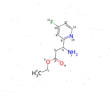 CCOC(=O)CC(N)c1cc(F)ccn1